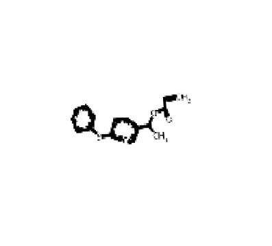 C=CC(=O)OC(C)c1ccc(Sc2ccccc2)cc1